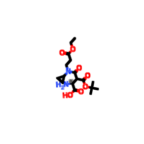 CCOC(=O)CCN(C(=O)C(C(=O)OC(C)(C)C)[C@H](N)C(=O)O)C1CC1